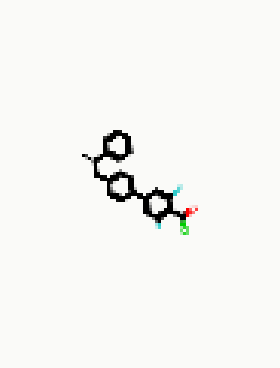 C[C@H](Cc1ccc(-c2cc(F)c(C(=O)Cl)c(F)c2)cc1)c1ccccc1